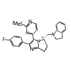 CSc1nccc(-c2c(-c3ccc(F)cc3)nc3n2[C@H](CN2CCc4ccccc42)CC3)n1